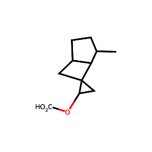 CC1CCC2CC3(CC3OC(=O)O)C12